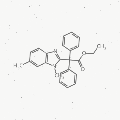 CCOC(=O)C(c1ccccc1)(c1ccccc1)c1nc2ccc(C)cc2n1C